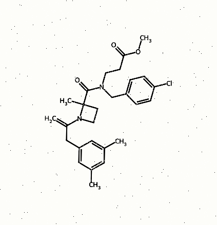 C=C(Cc1cc(C)cc(C)c1)N1CCC1(C)C(=O)N(CCC(=O)OC)Cc1ccc(Cl)cc1